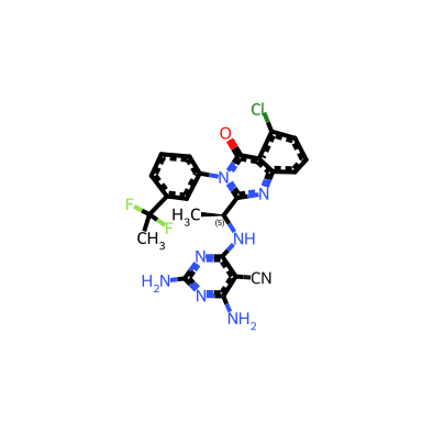 C[C@H](Nc1nc(N)nc(N)c1C#N)c1nc2cccc(Cl)c2c(=O)n1-c1cccc(C(C)(F)F)c1